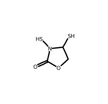 O=C1OCC(S)N1S